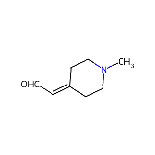 CN1CCC(=CC=O)CC1